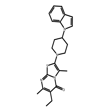 CCc1c(C)nc2sc(N3CCC(n4ccc5ccccc54)CC3)c(C)n2c1=O